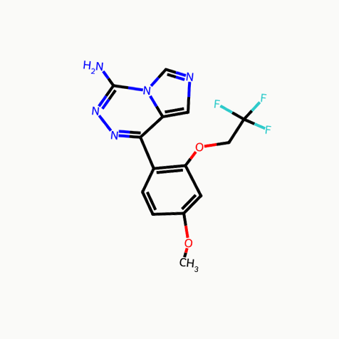 COc1ccc(-c2nnc(N)n3cncc23)c(OCC(F)(F)F)c1